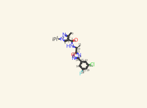 Cc1nn(C(C)C)cc1C(=O)N[C@@H](C)c1nc(-c2cc(F)cc(Cl)c2)no1